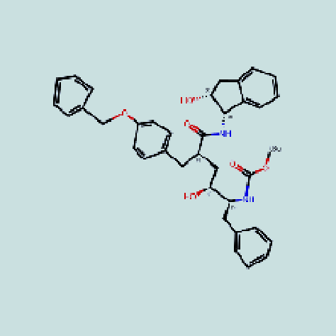 CC(C)(C)OC(=O)N[C@@H](Cc1ccccc1)[C@@H](O)C[C@@H](Cc1ccc(OCc2ccccc2)cc1)C(=O)N[C@H]1c2ccccc2C[C@H]1O